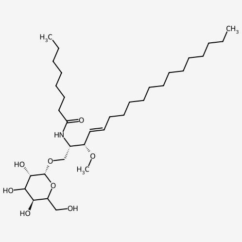 CCCCCCCCCCCCC/C=C/[C@H](OC)[C@H](CO[C@@H]1OC(CO)[C@@H](O)C(O)[C@@H]1O)NC(=O)CCCCCCC